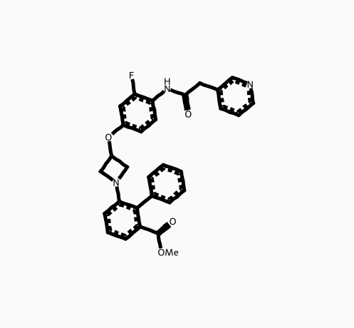 COC(=O)c1cccc(N2CC(Oc3ccc(NC(=O)Cc4cccnc4)c(F)c3)C2)c1-c1ccccc1